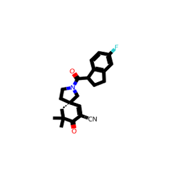 CC1(C)C[C@]2(C=C(C#N)C1=O)CCN(C(=O)C1CCc3cc(F)ccc31)C2